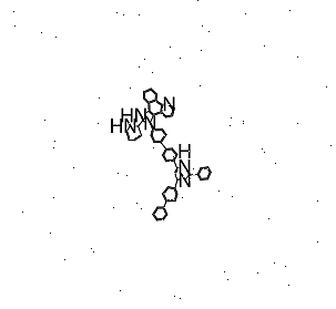 C1=CNC(C2Nc3c(c4cccnc4c4ccccc34)N2c2ccc(-c3ccc(C4=CC(c5ccc(-c6ccccc6)cc5)=NC(c5ccccc5)N4)cc3)cc2)C=C1